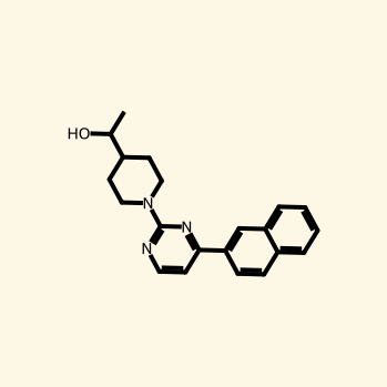 CC(O)C1CCN(c2nccc(-c3ccc4ccccc4c3)n2)CC1